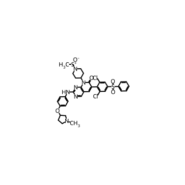 CN1CCC(Oc2ccc(Nc3ncc4cc(-c5c(Cl)cc(S(=O)(=O)c6ccccc6)cc5Cl)c(=O)n(C5CCN([S+](C)[O-])CC5)c4n3)cc2)C1